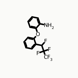 Nc1ccccc1Oc1ccccc1C(F)C(F)(F)C(F)(F)F